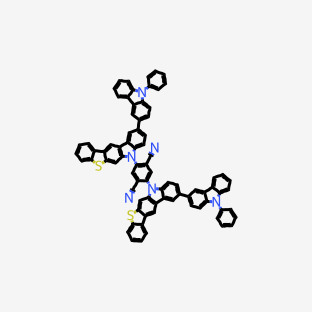 N#Cc1cc(-n2c3ccc(-c4ccc5c(c4)c4ccccc4n5-c4ccccc4)cc3c3cc4c(cc32)sc2ccccc24)c(C#N)cc1-n1c2ccc(-c3ccc4c(c3)c3ccccc3n4-c3ccccc3)cc2c2cc3c(cc21)sc1ccccc13